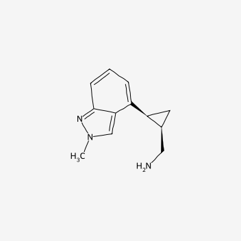 Cn1cc2c([C@H]3C[C@H]3CN)cccc2n1